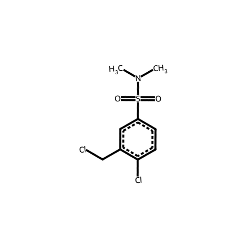 CN(C)S(=O)(=O)c1ccc(Cl)c(CCl)c1